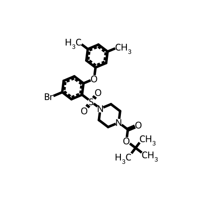 Cc1cc(C)cc(Oc2ccc(Br)cc2S(=O)(=O)N2CCN(C(=O)OC(C)(C)C)CC2)c1